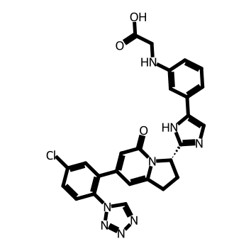 O=C(O)CNc1cccc(-c2cnc([C@@H]3CCc4cc(-c5cc(Cl)ccc5-n5cnnn5)cc(=O)n43)[nH]2)c1